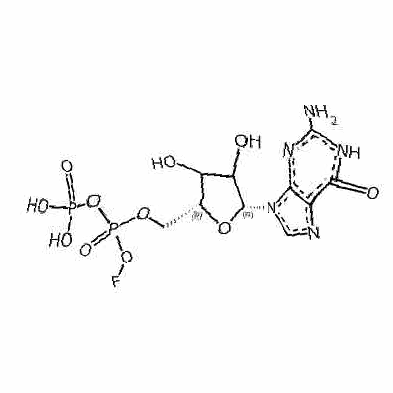 Nc1nc2c(ncn2[C@@H]2O[C@H](COP(=O)(OF)OP(=O)(O)O)C(O)C2O)c(=O)[nH]1